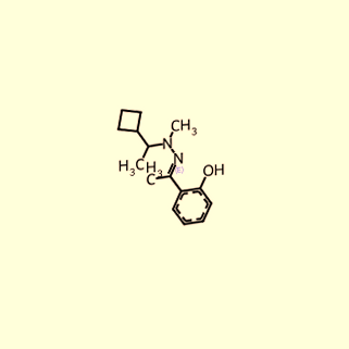 C/C(=N\N(C)C(C)C1CCC1)c1ccccc1O